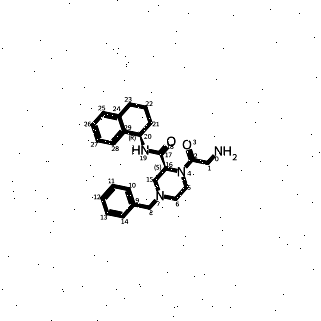 NCC(=O)N1CCN(Cc2ccccc2)C[C@H]1C(=O)N[C@@H]1CCCc2ccccc21